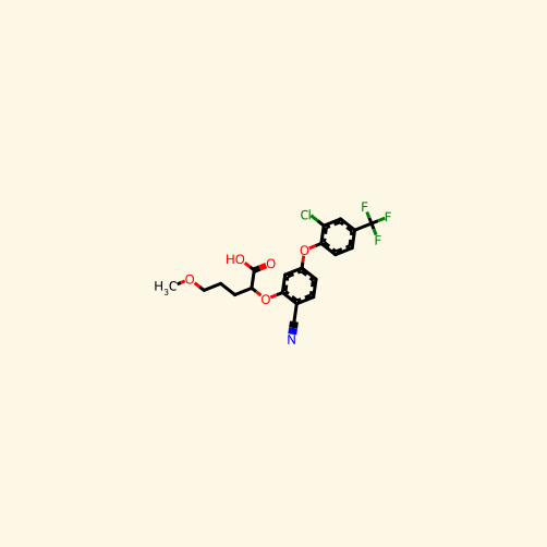 COCCCC(Oc1cc(Oc2ccc(C(F)(F)F)cc2Cl)ccc1C#N)C(=O)O